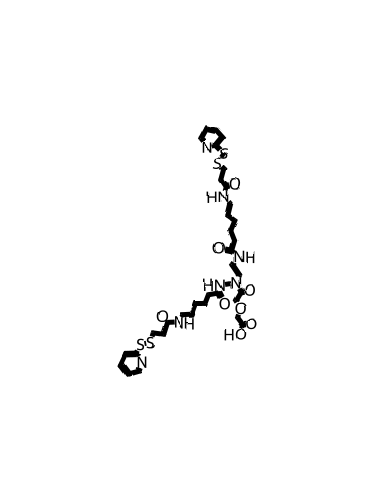 O=C(O)COCC(=O)N(CCNC(=O)CCCCCNC(=O)CCSSc1ccccn1)NC(=O)CCCCCNC(=O)CCSSc1ccccn1